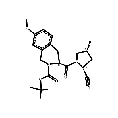 COc1ccc2c(c1)CN(C(=O)OC(C)(C)C)[C@H](C(=O)N1C[C@@H](F)C[C@H]1C#N)C2